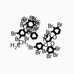 Brc1cc(OC2(Br)C(Br)(Br)C(Br)(Br)C(Br)(Br)C(Br)(Br)C2(Br)Oc2ccccc2)c(Br)c(Br)c1Br.Brc1ccc(Oc2nnnc(Oc3ccc(Br)c(Br)c3Br)c2Oc2ccc(Br)c(Br)c2Br)c(Br)c1Br.C=C